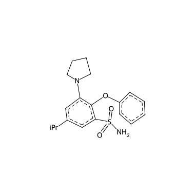 CC(C)c1cc(N2CCCC2)c(Oc2ccccc2)c(S(N)(=O)=O)c1